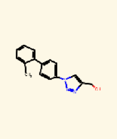 Cc1ccccc1-c1ccc(-n2cc(CO)nn2)cc1